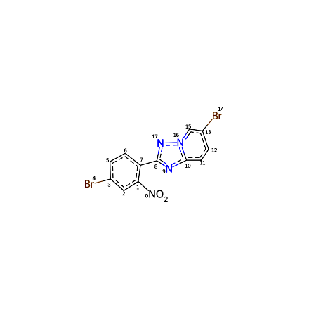 O=[N+]([O-])c1cc(Br)ccc1-c1nc2ccc(Br)cn2n1